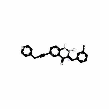 O=C1/C(=C/c2cccc(F)c2)[S+]([O-])Nc2ccc(C#CCc3ccncc3)cc21